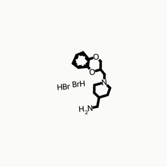 Br.Br.NCC1CCN(CC2COc3ccccc3O2)CC1